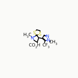 CN1CC(C(=O)O)C(c2cnn(C)c2C(F)(F)F)C12SCCS2